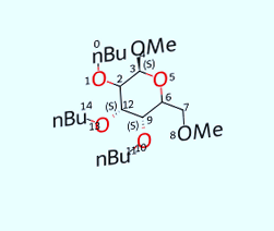 CCCCOC1[C@@H](OC)OC(COC)[C@H](OCCCC)[C@@H]1OCCCC